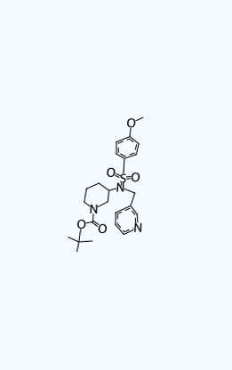 COc1ccc(S(=O)(=O)N(Cc2cccnc2)C2CCCN(C(=O)OC(C)(C)C)C2)cc1